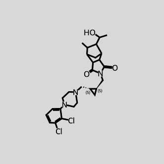 CC(O)C1C(C)C2CC1C1C(=O)N(C[C@H]3C[C@@H]3CN3CCN(c4cccc(Cl)c4Cl)CC3)C(=O)C21